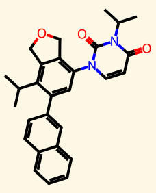 CC(C)c1c(-c2ccc3ccccc3c2)cc(-n2ccc(=O)n(C(C)C)c2=O)c2c1COC2